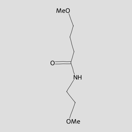 COCCCC(=O)NCCOC